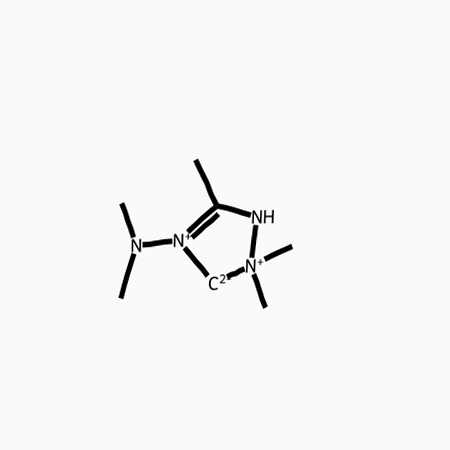 CC1=[N+](N(C)C)[C-2][N+](C)(C)N1